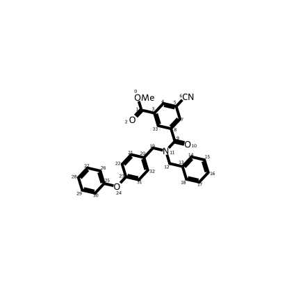 COC(=O)c1cc(C#N)cc(C(=O)N(Cc2ccccc2)Cc2ccc(Oc3ccccc3)cc2)c1